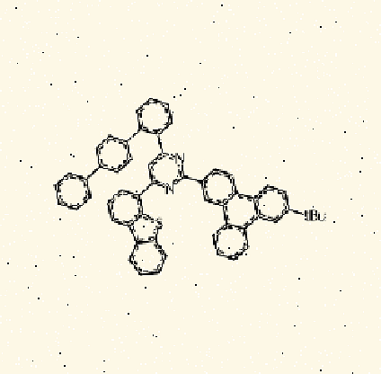 CC(C)(C)c1ccc2c3ccc(-c4nc(-c5ccccc5-c5ccc(-c6ccccc6)cc5)cc(-c5cccc6c5sc5ccccc56)n4)cc3c3ccccc3c2c1